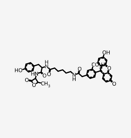 CC1OC(=O)C1NC(=O)C(Cc1ccc(O)cc1)NC(=O)CCCCCNC(=O)Cc1ccc(-c2c3ccc(=O)cc-3oc3cc(O)ccc23)c(C(=O)O)c1